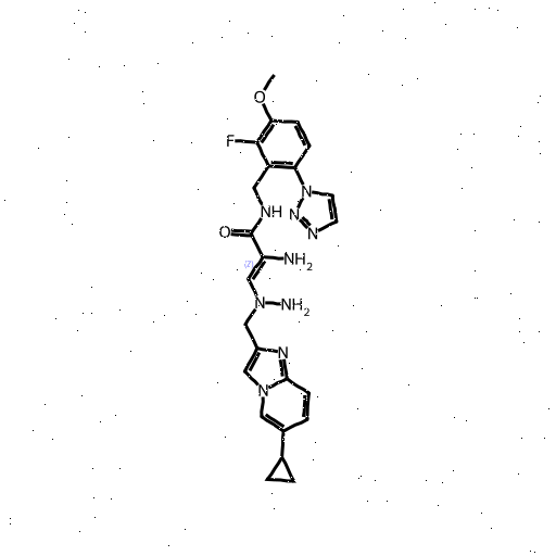 COc1ccc(-n2ccnn2)c(CNC(=O)/C(N)=C/N(N)Cc2cn3cc(C4CC4)ccc3n2)c1F